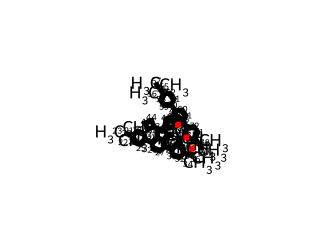 C[SiH](C)[Zr]([Cl])([Cl])([CH]1C(CC2CCC2)=Cc2c(-c3ccc(C(C)(C)C)cc3)ccc(-c3ccc(C(C)(C)C)cc3)c21)[CH]1C(CC2CCC2)=Cc2c(-c3ccc(C(C)(C)C)cc3)ccc(-c3ccc(C(C)(C)C)cc3)c21